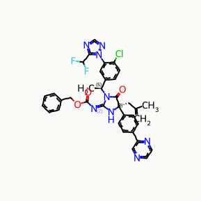 [CH2][C@@H](c1ccc(Cl)c(-n2ncnc2C(F)F)c1)N1C(=O)[C@@](CC(=C)C)(c2ccc(-c3cnccn3)cc2)N/C1=N/C(=O)OCc1ccccc1